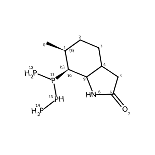 C[C@H]1CCC2CC(=O)NC2[C@H]1P(P)PP